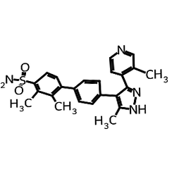 Cc1cnccc1-c1n[nH]c(C)c1-c1ccc(-c2ccc(S(N)(=O)=O)c(C)c2C)cc1